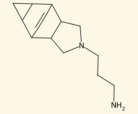 NCCCN1CC2C3C=CC(C4CC34)C2C1